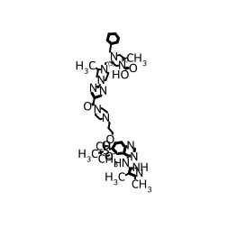 Cc1n[nH]c(Nc2ncnc3cc(OCCCN4CCN(C(=O)c5cnc(N6CCN(C[C@H]7CN(C(=O)O)[C@H](C)CN7Cc7ccccc7)C(C)C6)nc5)CC4)c(S(=O)(=O)C(C)(C)C)cc23)c1C